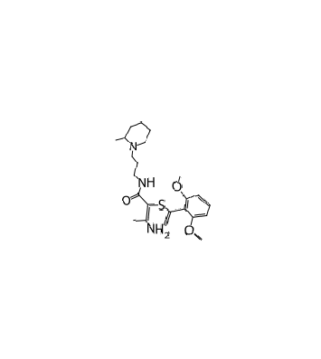 C=C(S/C(C(=O)NCCCN1CCCCC1C)=C(/C)N)c1c(OC)cccc1OC